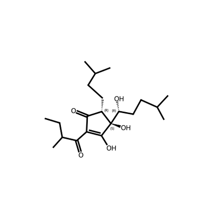 CCC(C)C(=O)C1=C(O)[C@@](O)([C@H](O)CCC(C)C)[C@@H](CCC(C)C)C1=O